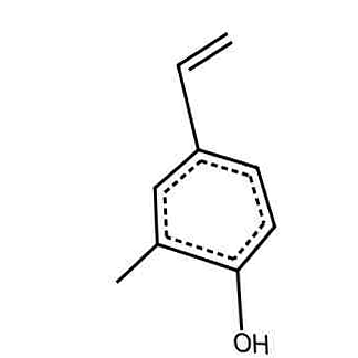 C=Cc1ccc(O)c(C)c1